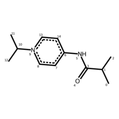 CC(C)C(=O)Nc1cc[n+](C(C)C)cc1